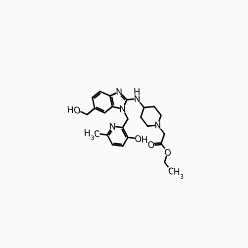 CCOC(=O)CN1CCC(Nc2nc3ccc(CO)cc3n2Cc2nc(C)ccc2O)CC1